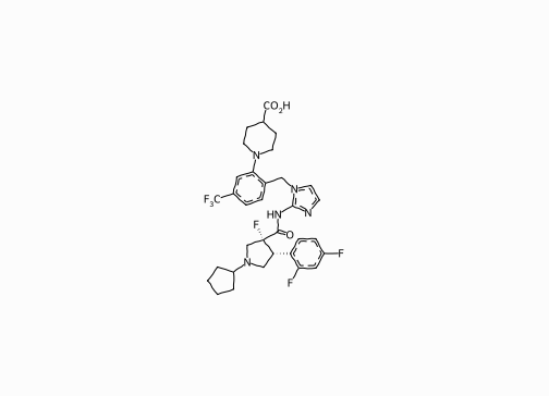 O=C(O)C1CCN(c2cc(C(F)(F)F)ccc2Cn2ccnc2NC(=O)[C@]2(F)CN(C3CCCC3)C[C@H]2c2ccc(F)cc2F)CC1